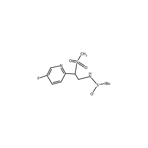 CC(C)(C)[S+]([O-])NCC(c1ccc(F)cn1)S(C)(=O)=O